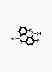 CN(Cc1ccc(F)c(B(O)O)c1)c1ccccc1